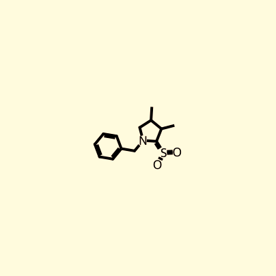 CC1CN(Cc2ccccc2)C(=S(=O)=O)C1C